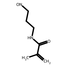 C=C(C)C(=O)NCCCN=O